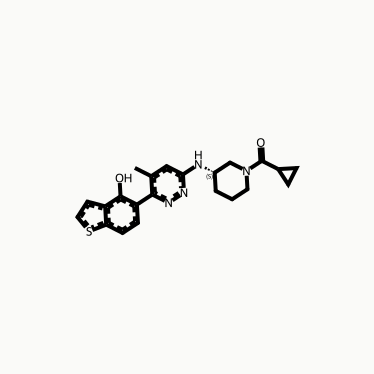 Cc1cc(N[C@H]2CCCN(C(=O)C3CC3)C2)nnc1-c1ccc2sccc2c1O